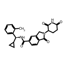 Cc1ccccc1[C@@H](NC(=O)c1ccc2c(c1)CN(C1CCC(=O)NC1=O)C2=O)C1CC1